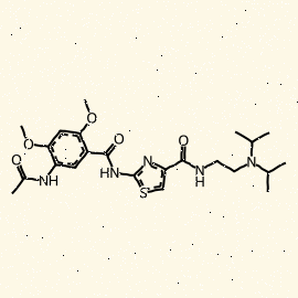 COc1cc(OC)c(C(=O)Nc2nc(C(=O)NCCN(C(C)C)C(C)C)cs2)cc1NC(C)=O